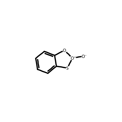 [O-][O+]1Oc2ccccc2S1